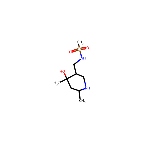 CC1CC(C)(O)C(CNS(C)(=O)=O)CN1